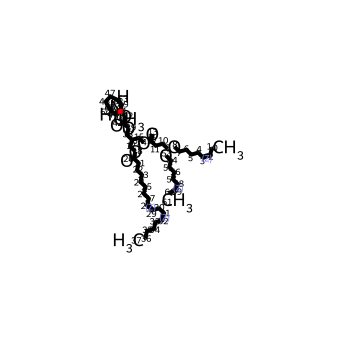 CC/C=C\CCCCOC(CCC(=O)OCC(COC(=O)CCCCCCC/C=C\C/C=C\CCCCC)COC(=O)O[C@H]1C[C@H]2CC[C@@H](C1)N2CC)OCCCC/C=C\CC